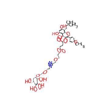 COc1ccc(-c2oc3c(CC=C(C)C)c(O)cc(O)c3c(=O)c2OC(=O)CCC(=O)OCCCOCc2cn(CCOCCO[C@H]3C[C@@H](CO)[C@H](O)[C@@H](O)[C@@H]3O)nn2)cc1